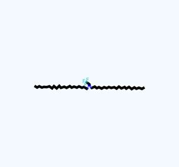 CCCCCCCCCCCCCCCCCCCCCCN(CCCCCCCCCCCCCCCCCCCCCC)CC(F)(F)F